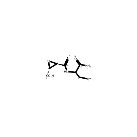 CC(C)CC(NC(=O)[C@@H]1O[C@H]1C(=O)O)C(N)=O